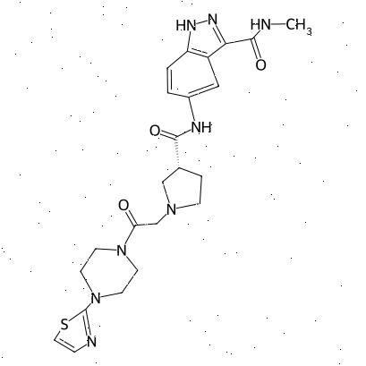 CNC(=O)c1n[nH]c2ccc(NC(=O)[C@@H]3CCN(CC(=O)N4CCN(c5nccs5)CC4)C3)cc12